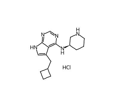 Cl.c1nc(N[C@@H]2CCCNC2)c2c(CC3CCC3)c[nH]c2n1